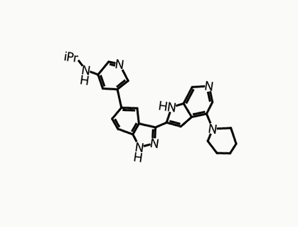 CC(C)Nc1cncc(-c2ccc3[nH]nc(-c4cc5c(N6CCCCC6)cncc5[nH]4)c3c2)c1